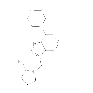 CCC1CCCN1Cn1nnc2c(N3CCOCC3)nc(Cl)nc21